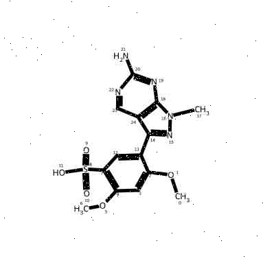 COc1cc(OC)c(S(=O)(=O)O)cc1-c1nn(C)c2nc(N)ncc12